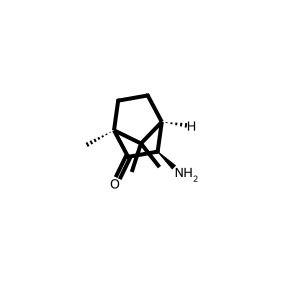 CC1(C)[C@H]2CC[C@]1(C)C(=O)[C@@H]2N